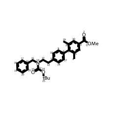 COC(=O)c1cc(C)c(-c2ccc(CCN(Cc3ccccc3)C(=O)OC(C)(C)C)cc2)c(C)c1